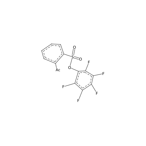 CC(=O)c1ccccc1S(=O)(=O)Oc1c(F)c(F)c(F)c(F)c1F